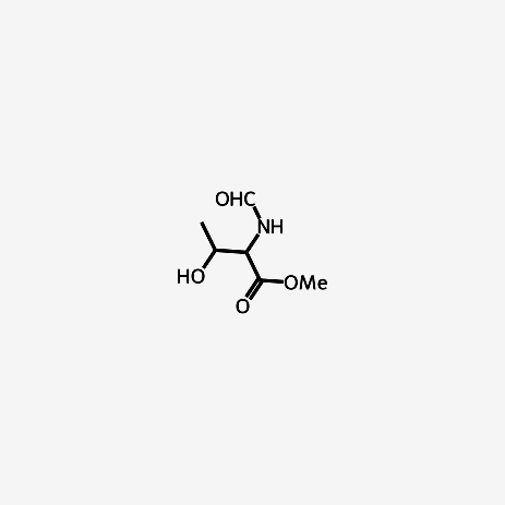 COC(=O)C(NC=O)C(C)O